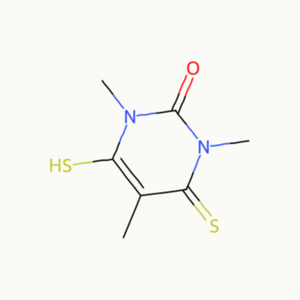 Cc1c(S)n(C)c(=O)n(C)c1=S